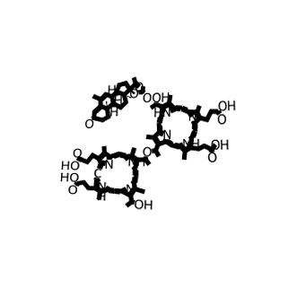 CC(=O)O[C@]1(C(C)=O)CC[C@H]2[C@@H]3C=C(C)C4=CC(=O)CC[C@]4(C)[C@H]3CC[C@@]21C.CC1=C(CCC(=O)O)c2cc3[nH]c(cc4nc(cc5[nH]c(cc1n2)c(C)c5C(C)OC(C)C1=C(C)c2cc5[nH]c(cc6nc(cc7[nH]c(cc1n2)c(C)c7CCC(=O)O)C(CCC(=O)O)=C6C)c(C)c5C(C)O)C(C)=C4C(C)O)c(C)c3CCC(=O)O